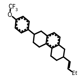 CC/C=C/C1CCc2c(ccc3c2CCC(c2ccc(OC(F)(F)F)cc2)C3)C1